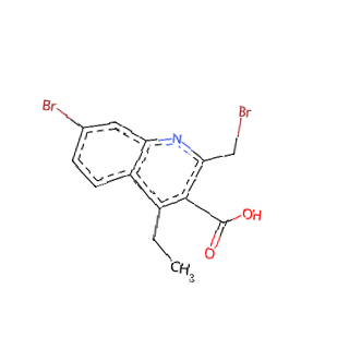 CCc1c(C(=O)O)c(CBr)nc2cc(Br)ccc12